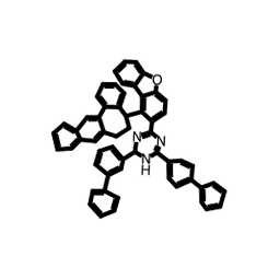 c1ccc(-c2ccc(C3=NC(c4ccc5oc6ccccc6c5c4C4CCc5cc6ccccc6cc5-c5ccccc54)=NC(c4cccc(-c5ccccc5)c4)N3)cc2)cc1